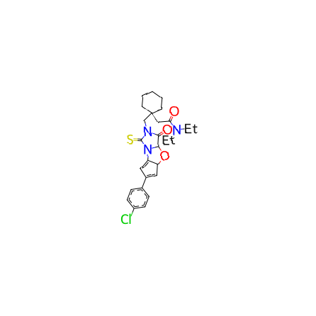 CCN(CC)C(=O)CC1(CN2C(=O)C3OC4C=C(c5ccc(Cl)cc5)C=C4N3C2=S)CCCCC1